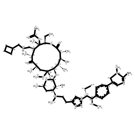 CC[C@H]1OC(=O)[C@H](C)[C@@H](O)[C@H](C)[C@@H](O[C@@H]2O[C@H](C)C[C@H](N(C)CCc3cn([C@H](CF)[C@H](OC)c4ccc(C5=CN=C(N)N(C)C5)cc4)nn3)[C@H]2O)[C@](C)(OC)C[C@@H](C)C(=O)[C@H](C)[C@@H](CNCC2CCC2)[C@]1(C)OC(N)=O